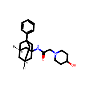 O=C(CN1CCC(O)CC1)NC12C[C@H]3C[C@@H](C1)CC(c1ccccc1)(C3)C2